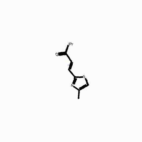 Cc1csc(/C=C/C(=O)C(C)C)n1